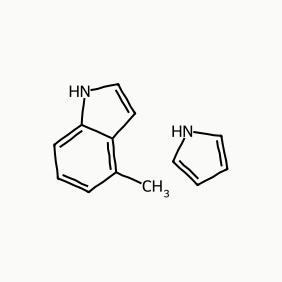 Cc1cccc2[nH]ccc12.c1cc[nH]c1